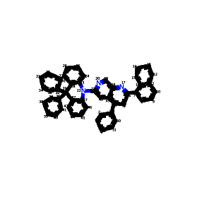 c1ccc(-c2cc(-c3cccc4ccccc34)nc3cnc(N4c5ccccc5C(c5ccccc5)(c5ccccc5)c5ccccc54)cc23)cc1